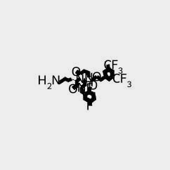 NCCCC[C@H]1C(=O)N(Cc2cc(F)ccc2F)C[C@@H]2N(C(=O)OCc3cc(C(F)(F)F)cc(C(F)(F)F)c3)CCC(=O)N21